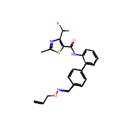 C=CCON=Cc1ccc(-c2ccccc2NC(=O)c2sc(C)nc2C(F)F)cc1